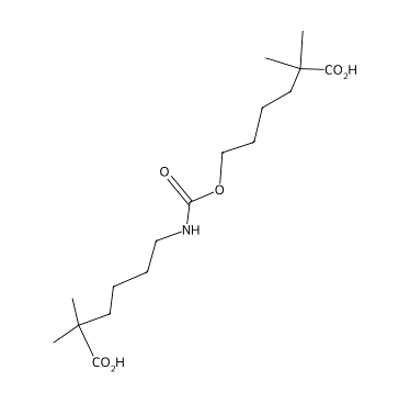 CC(C)(CCCCNC(=O)OCCCCC(C)(C)C(=O)O)C(=O)O